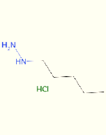 CCCCCNN.Cl